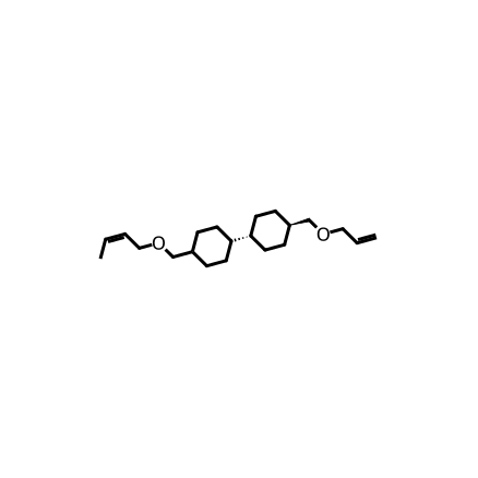 C=CCOC[C@H]1CC[C@H](C2CCC(COC/C=C\C)CC2)CC1